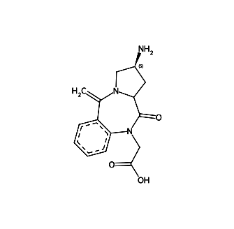 C=C1c2ccccc2N(CC(=O)O)C(=O)C2C[C@H](N)CN12